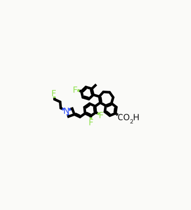 Cc1cc(F)ccc1C1=C(c2ccc(C=C3CN(CCCF)C3)c(F)c2F)c2ccc(C(=O)O)cc2CCC1